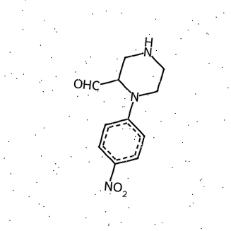 O=CC1CNCCN1c1ccc([N+](=O)[O-])cc1